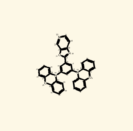 c1ccc2c(c1)Oc1ccccc1N2c1cc(-c2nc3ccncc3o2)cc(N2c3ccccc3Oc3ccccc32)c1